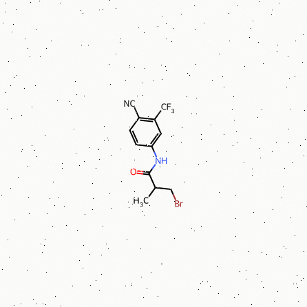 CC(CBr)C(=O)Nc1ccc(C#N)c(C(F)(F)F)c1